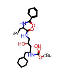 CC(C)CC(NC(=O)c1ccccc1)C(=O)NC[C@H](O)[C@H](O)[C@H](CC1CCCCC1)NC(=O)OC(C)(C)C